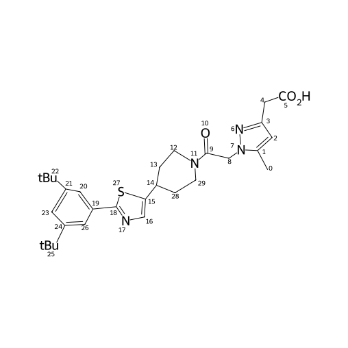 Cc1cc(CC(=O)O)nn1CC(=O)N1CCC(c2cnc(-c3cc(C(C)(C)C)cc(C(C)(C)C)c3)s2)CC1